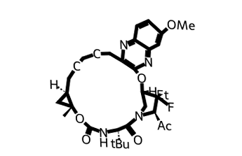 CC[C@]1(F)[C@@H]2CN(C(=O)[C@H](C(C)(C)C)NC(=O)O[C@]3(C)C[C@H]3CCCCCc3nc4ccc(OC)cc4nc3O2)[C@@H]1C(C)=O